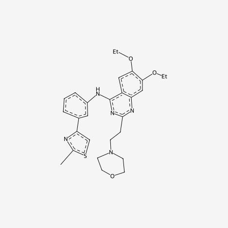 CCOc1cc2nc(CCN3CCOCC3)nc(Nc3cccc(-c4csc(C)n4)c3)c2cc1OCC